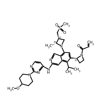 C=CC(=O)N1CC[C@H]1c1cc(N2C[C@H](CS(C)(=O)=O)[C@H]2C)c2cnc(Nc3ccnc(N4CCC(OC)CC4)n3)cc2c1C(C)C